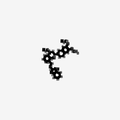 COc1cc2c(cc1OC)CN(CCN(C)c1ccnc(CSc3nc4ccccc4[nH]3)c1Cl)CC2